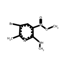 CNc1nc(C)c(Br)cc1[N+](=O)OC